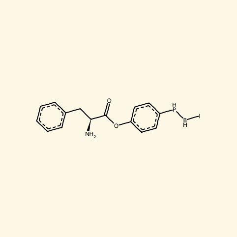 N[C@@H](Cc1ccccc1)C(=O)Oc1ccc(PBI)cc1